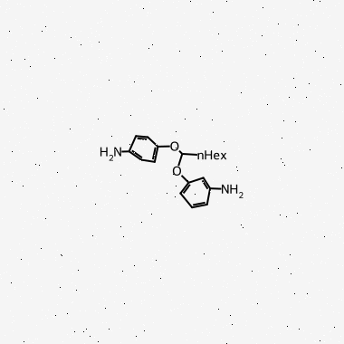 CCCCCCC(Oc1ccc(N)cc1)Oc1cccc(N)c1